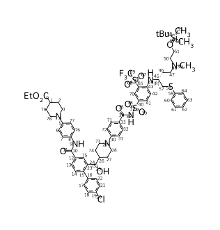 CCOC(=O)C1CCN(c2ccc(NC(=O)c3ccc(-c4ccc(Cl)cc4)c([C@@H](O)C4CCN(c5ccc(C(=O)NS(=O)(=O)c6ccc(N[C@H](CCN(C)CCO[Si](C)(C)C(C)(C)C)CSc7ccccc7)c(S(=O)(=O)C(F)(F)F)c6)cc5)CC4)c3)cc2)CC1